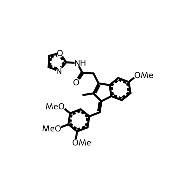 COc1ccc2c(c1)C(CC(=O)Nc1ncco1)=C(C)C2=Cc1cc(OC)c(OC)c(OC)c1